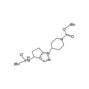 CC(C)(C)OC(=O)N1CCC(n2ncc3c2CCC3N[S+]([O-])C(C)(C)C)CC1